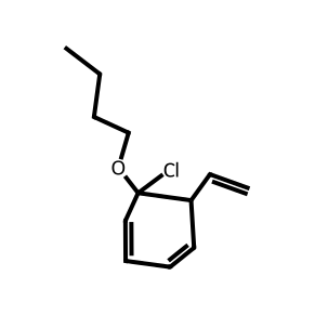 C=CC1C=CC=CC1(Cl)OCCCC